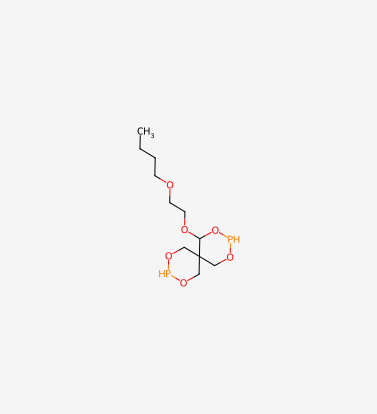 CCCCOCCOC1OPOCC12COPOC2